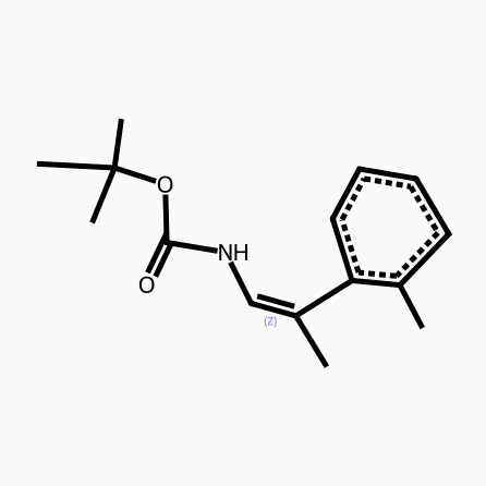 C/C(=C/NC(=O)OC(C)(C)C)c1ccccc1C